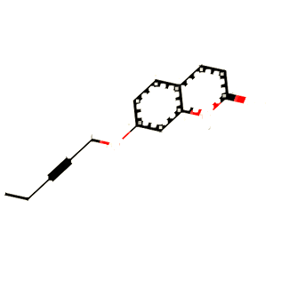 CCC#CCOc1ccc2ccc(=O)oc2c1